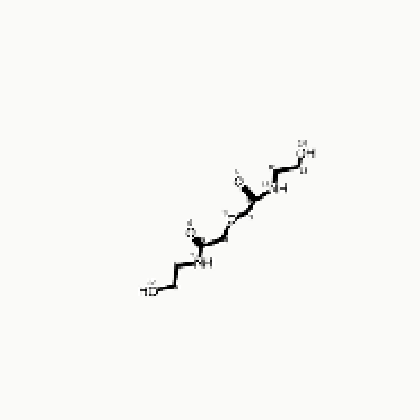 O=C(COCC(=O)NCCO)NCCO